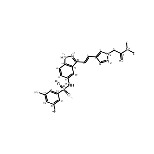 CN(C)C(=O)Cn1cc(C=Cc2n[nH]c3ccc(NS(=O)(=O)c4cc(F)cc(F)c4)cc23)cn1